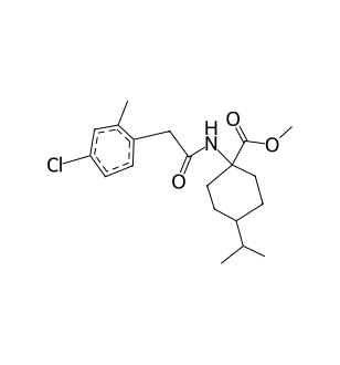 COC(=O)C1(NC(=O)Cc2ccc(Cl)cc2C)CCC(C(C)C)CC1